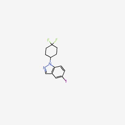 FC1(F)CCC(n2ncc3cc(I)ccc32)CC1